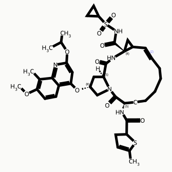 COc1ccc2c(O[C@@H]3C[C@H]4C(=O)N[C@]5(C(=O)NS(=O)(=O)C6CC6)CC5/C=C\CCCCC[C@H](NC(=O)C5CC=C(C)S5)C(=O)N4C3)cc(OC(C)C)nc2c1C